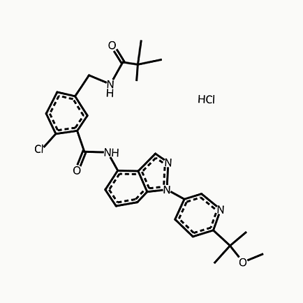 COC(C)(C)c1ccc(-n2ncc3c(NC(=O)c4cc(CNC(=O)C(C)(C)C)ccc4Cl)cccc32)cn1.Cl